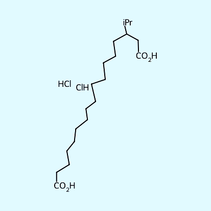 CC(C)C(CCCCCCCCCCCCCC(=O)O)CC(=O)O.Cl.Cl